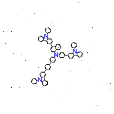 c1ccc(-n2c3ccccc3c3cc(-c4ccc(-c5ccc(N(c6ccc(-c7ccc8c9ccccc9n(-c9ccccc9)c8c7)cc6)c6ccc(-c7ccc8c(c7)c7ccccc7n8-c7ccccc7)c7ccccc67)cc5)cc4)ccc32)cc1